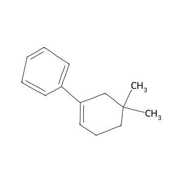 CC1(C)CCC=C(c2ccccc2)C1